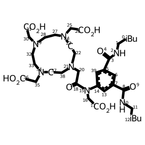 CCC(C)CNC(=O)c1cc(C(=O)NCC(C)CC)cc(N(CC(=O)O)C(=O)CN2CCN(CC(=O)O)CCN(CC(=O)O)CCN(CC(=O)O)CC2)c1